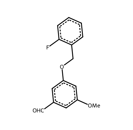 COc1cc(C=O)cc(OCc2ccccc2F)c1